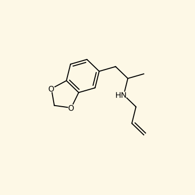 C=CCNC(C)Cc1ccc2c(c1)OCO2